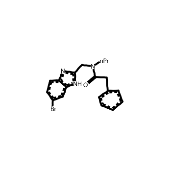 CCCN(Cc1nc2ccc(Br)cc2[nH]1)C(=O)Cc1ccccc1